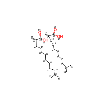 C=C(CCCCCCCC(C)C)C(=O)O.C=C(CCCCCCCCC(C)C)C(=O)O